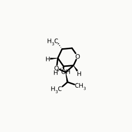 CC(C)[C@H]1O[C@H]2[C@H](O)[C@@H]1OC[C@H]2C